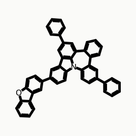 c1ccc(-c2ccc3c(c2)-c2ccccc2-c2cc(-c4ccccc4)cc4c5cc(-c6ccc7oc8ccccc8c7c6)ccc5n-3c24)cc1